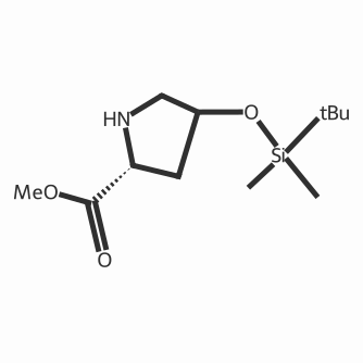 COC(=O)[C@H]1CC(O[Si](C)(C)C(C)(C)C)CN1